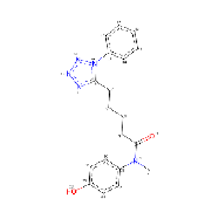 CN(C(=O)CCCCc1nnnn1-c1ccccc1)c1ccc(O)cc1